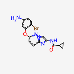 Nc1ccc(Br)c(Oc2ccc3nc(NC(=O)C4CC4)cn3n2)c1